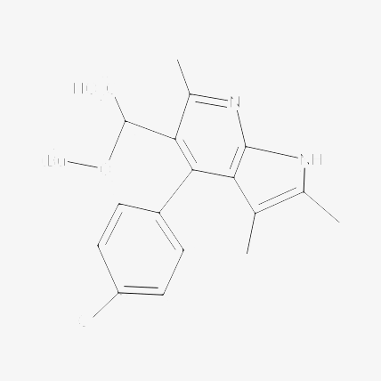 Cc1nc2[nH]c(C)c(C)c2c(-c2ccc(Cl)cc2)c1C(OC(C)(C)C)C(=O)O